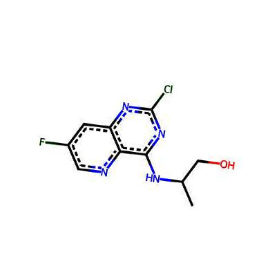 CC(CO)Nc1nc(Cl)nc2cc(F)cnc12